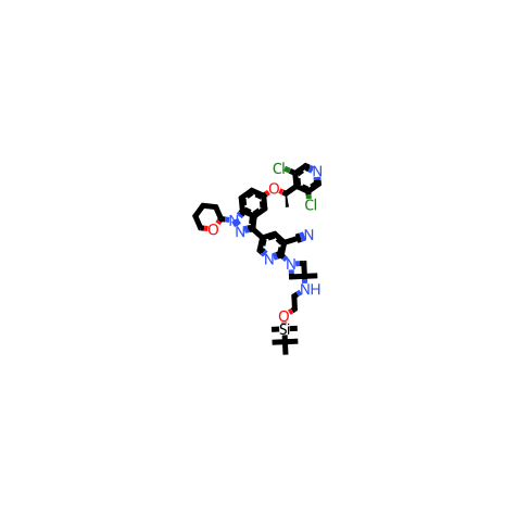 C[C@@H](Oc1ccc2c(c1)c(-c1cnc(N3CC(C)(NCCO[Si](C)(C)C(C)(C)C)C3)c(C#N)c1)nn2C1CCCCO1)c1c(Cl)cncc1Cl